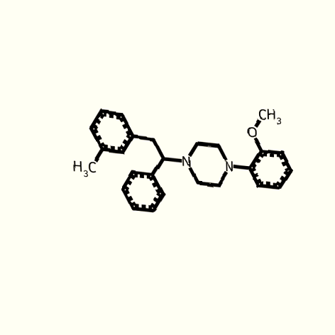 COc1ccccc1N1CCN(C(Cc2cccc(C)c2)c2ccccc2)CC1